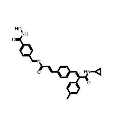 Cc1ccc(/C(=C\c2ccc(C=CC(=O)NCc3ccc(C(=O)NO)cc3)cc2)C(=O)NC2CC2)cc1